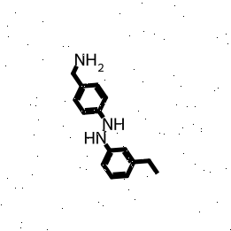 CCc1cccc(NNc2ccc(CN)cc2)c1